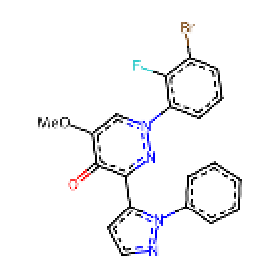 COc1cn(-c2cccc(Br)c2F)nc(-c2ccnn2-c2ccccc2)c1=O